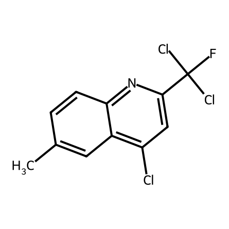 Cc1ccc2nc(C(F)(Cl)Cl)cc(Cl)c2c1